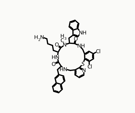 CN1C(=O)C(CCCCN)NC(=O)C(Cc2ccc3ccccc3c2)NCc2cccnc2Sc2c(Cl)cc(Cl)cc2CNC(=O)C1Cc1c[nH]c2ccccc12